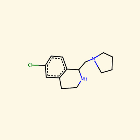 Clc1ccc2c(c1)CCNC2CN1CCCC1